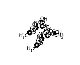 Cc1ccc(S(=O)(=O)n2ccc3c(N(CC(=O)O)C4CCCNC4)ncnc32)cc1.Cc1ccc(S(=O)(=O)n2ccc3c(N(CC(=O)O)[C@@H]4CCCN(C(=O)OC(C)(C)C)C4)ncnc32)cc1